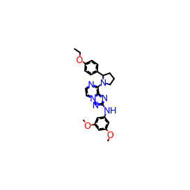 CCOc1ccc(C2CCCN2c2nccn3nc(Nc4cc(OC)cc(OC)c4)nc23)cc1